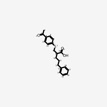 CC(=O)c1ccc(SCC(CCCc2ccccc2)C(=O)O)cc1